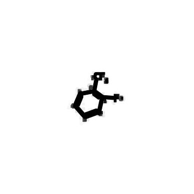 Fc1[c]cccc1C(F)(F)F